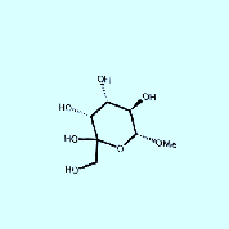 CO[C@@H]1OC(O)(CO)[C@H](O)[C@H](O)[C@H]1O